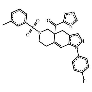 Cc1cccc(S(=O)(=O)N2CCC3=Cc4c(cnn4-c4ccc(F)cc4)C[C@]3(C(=O)c3cscn3)C2)c1